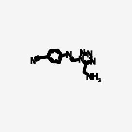 N#Cc1ccc(N=Cn2nnnc2CN)cc1